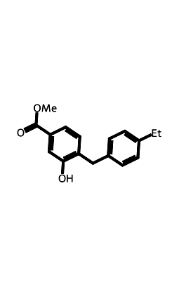 CCc1ccc(Cc2ccc(C(=O)OC)cc2O)cc1